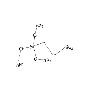 CCCO[Si](CCC(C)CC)(OCCC)OCCC